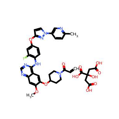 C=CC(=O)N1CCC(Oc2cc3c(Nc4ccc(Oc5ccn(-c6ccc(C)nc6)n5)cc4F)ncnc3cc2OC)CC1.O=C(O)CC(O)(CC(=O)O)C(=O)O